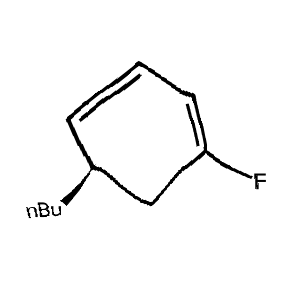 CCCC[C@H]1C=CC=C(F)C1